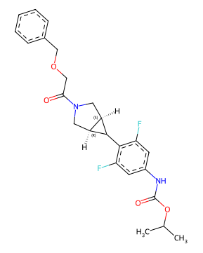 CC(C)OC(=O)Nc1cc(F)c(C2[C@H]3CN(C(=O)COCc4ccccc4)C[C@@H]23)c(F)c1